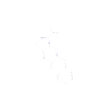 CCn1c(Nc2ccccc2)nc2c(ccn2C(C)C)c1=O